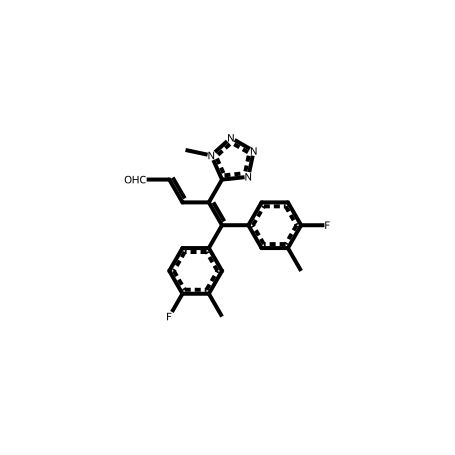 Cc1cc(C(=C(C=CC=O)c2nnnn2C)c2ccc(F)c(C)c2)ccc1F